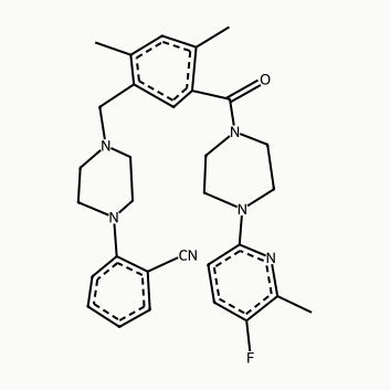 Cc1cc(C)c(C(=O)N2CCN(c3ccc(F)c(C)n3)CC2)cc1CN1CCN(c2ccccc2C#N)CC1